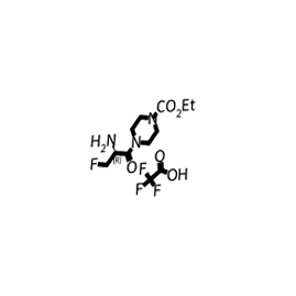 CCOC(=O)N1CCN(C(=O)[C@@H](N)CF)CC1.O=C(O)C(F)(F)F